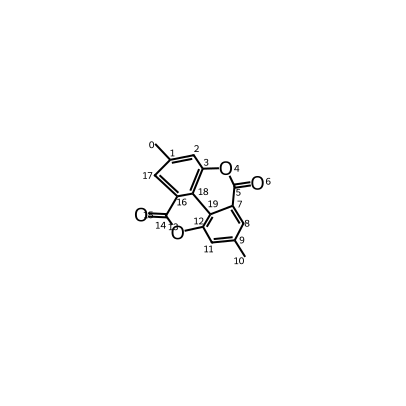 Cc1cc2oc(=O)c3cc(C)cc4oc(=O)c(c1)c2c43